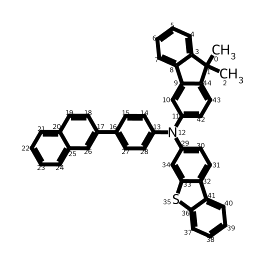 CC1(C)c2ccccc2-c2cc(N(c3ccc(-c4ccc5ccccc5c4)cc3)c3ccc4c(c3)sc3ccccc34)ccc21